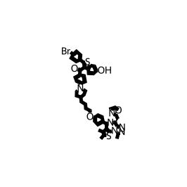 Cc1sc2c(c1C)C(c1ccc(OCCCCC3CCN(c4ccc(C(=O)c5c(-c6ccc(Br)cc6)sc6cc(O)ccc56)cc4)CC3)cc1)=N[C@@H](Cc1ncco1)c1nnc(C)n1-2